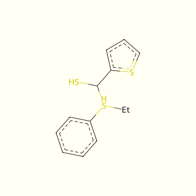 CC[SH](c1ccccc1)C(S)c1cccs1